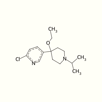 CCOC1(c2ccc(Cl)nc2)CCN(C(C)C)CC1